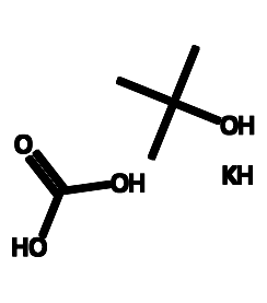 CC(C)(C)O.O=C(O)O.[KH]